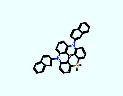 CS1(C)c2cccc3c2B2c4c(cccc4N(c4ccc5ccccc5c4)c4cccc1c42)N3c1ccc2ccccc2c1